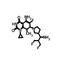 CC1c2c(c(=O)[nH]c(=O)n2C2CC2)C(N)=C(F)C1N1CCC(C(N)C(CF)CF)C1